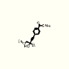 CCOCC(O)(C#Cc1ccc(C(=O)OC)cc1)CC